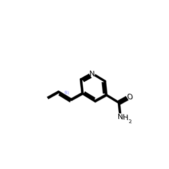 C/C=C/c1cncc(C(N)=O)c1